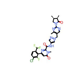 Cc1nc(N2C[C@@H](C)[C@@H](C)C2=O)ncc1Cn1cc(NC(=O)c2nc(-c3c(C(F)F)ccc(Cl)c3F)cc(=O)n2C)cn1